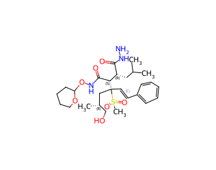 CC(C)C[C@@H](C(=O)NN)[C@@H](C(=O)NOC1CCCCO1)C(/C=C/c1ccccc1)(C[C@@H](C)CO)S(C)(=O)=O